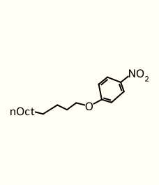 CCCCCCCCCCCCOc1ccc([N+](=O)[O-])cc1